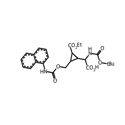 CCOC(=O)C1C(COC(=O)Nc2cccc3ccccc23)C1C(NC(=O)OC(C)(C)C)C(=O)O